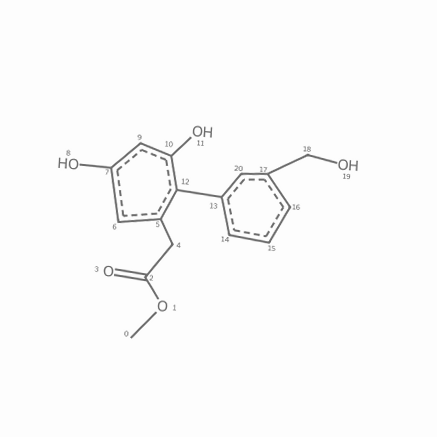 COC(=O)Cc1cc(O)cc(O)c1-c1cccc(CO)c1